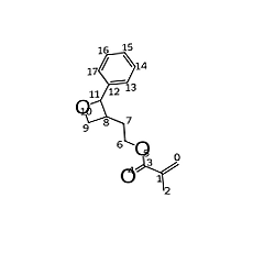 C=C(C)C(=O)OCCC1COC1c1ccccc1